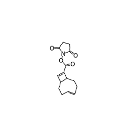 O=C(ON1C(=O)CCC1=O)C1=CC2CC/C=C/CCC12